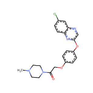 CN1CCN(C(=O)COc2ccc(Oc3cnc4cc(Cl)ccc4n3)cc2)CC1